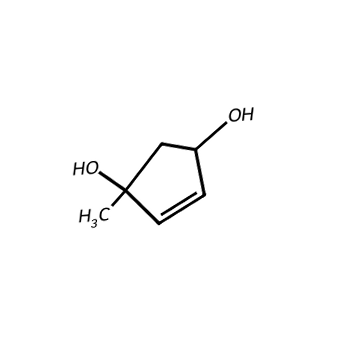 CC1(O)C=CC(O)C1